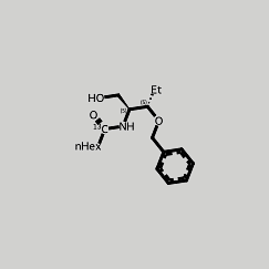 CCCCCC[13C](=O)N[C@@H](CO)[C@H](CC)OCc1ccccc1